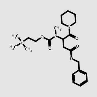 CN(C(=O)OCC[Si](C)(C)C)C(CC(=O)OCc1ccccc1)C(=O)N1CCCCC1